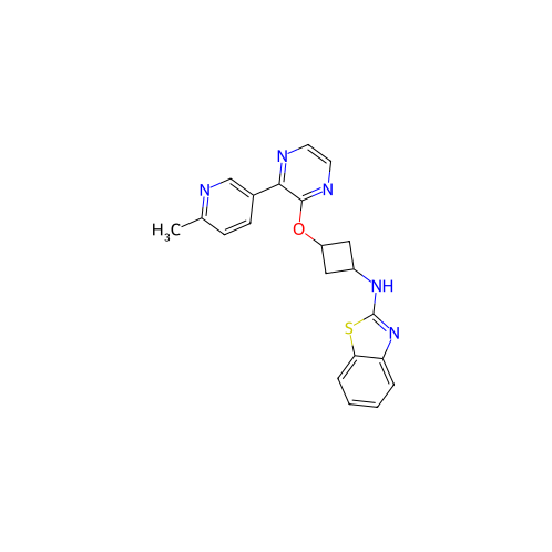 Cc1ccc(-c2nccnc2OC2CC(Nc3nc4ccccc4s3)C2)cn1